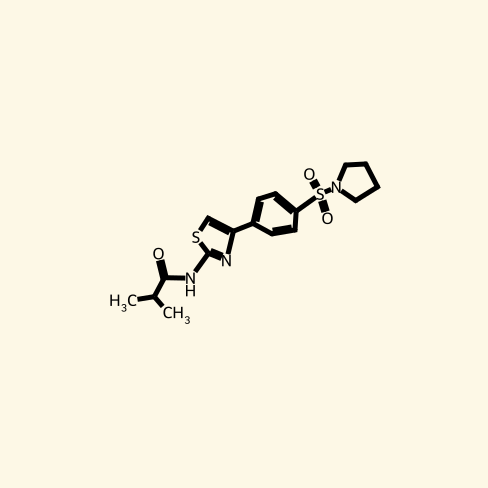 CC(C)C(=O)Nc1nc(-c2ccc(S(=O)(=O)N3CCCC3)cc2)cs1